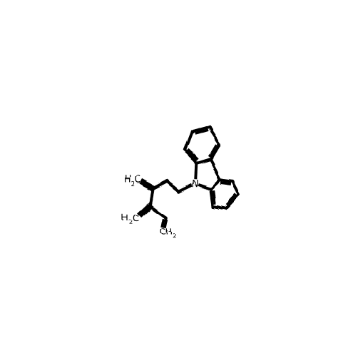 C=CC(=C)C(=C)CCn1c2ccccc2c2ccccc21